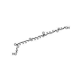 O=C(CSCSCSCCOOCSCSCSCOC(=O)CSCSCSCCOOCSCCO)OCSCCO